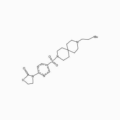 CC(C)(C)CCN1CCC2(CC1)CCN(S(=O)(=O)c1ccc(N3CCOC3=O)nc1)CC2